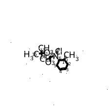 C[C@H]1CC=CCC1N(Cl)C(=O)OC(C)(C)C